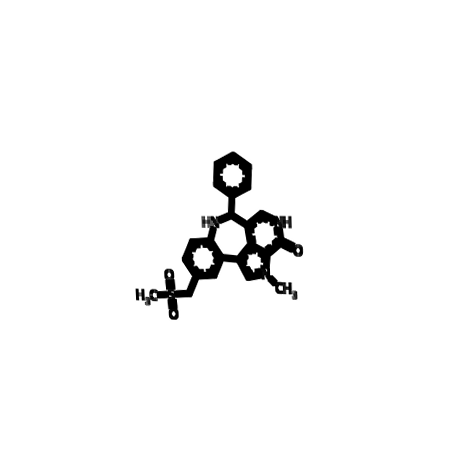 Cn1cc2c3c(c[nH]c(=O)c31)C(c1ccccc1)Nc1ccc(CS(C)(=O)=O)cc1-2